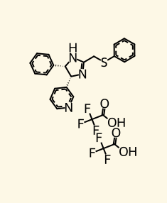 O=C(O)C(F)(F)F.O=C(O)C(F)(F)F.c1ccc(SCC2=N[C@H](c3cccnc3)[C@H](c3ccccc3)N2)cc1